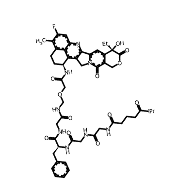 CC[C@@]1(O)C(=O)OCc2c1cc1n(c2=O)Cc2c-1nc1cc(F)c(C)c3c1c2[C@@H](NC(=O)COCNC(=O)CNC(=O)[C@H](Cc1ccccc1)NC(=O)CNC(=O)CNC(=O)CCCC(=O)C(C)C)CC3